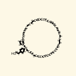 ON=Cc1ccc(N2CCCCCCCCCCCCCCCCCCCCCCCCCCCCCCCCCCCCCCCCCCCCCCCCC3(CC2)OCCO3)cc1